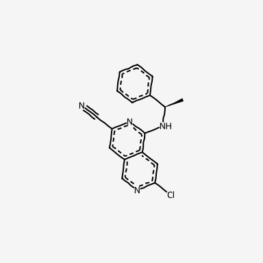 C[C@@H](Nc1nc(C#N)cc2cnc(Cl)cc12)c1ccccc1